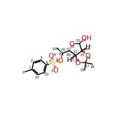 Cc1ccc(S(=O)(=O)O[C@@H](C)[C@@H]2OC(O)[C@@H]3OC(C)(C)O[C@H]23)cc1